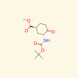 COC(=O)[C@H]1CCC(=O)[C@H](NC(=O)OC(C)(C)C)C1